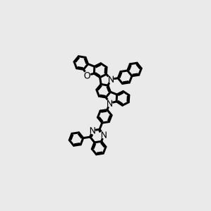 c1ccc(-c2nc(-c3ccc(-n4c5ccccc5c5c4ccc4c6c7oc8ccccc8c7ccc6n(-c6ccc7ccccc7c6)c45)cc3)nc3ccccc23)cc1